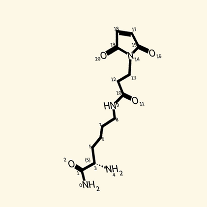 NC(=O)[C@@H](N)CCCCNC(=O)CCN1C(=O)C=CC1=O